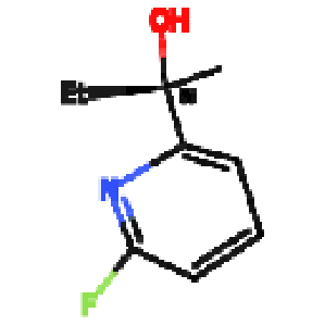 CC[C@](C)(O)c1cccc(F)n1